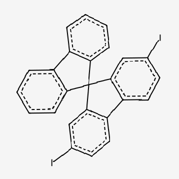 Ic1ccc2c(c1)C1(c3ccccc3-c3ccccc31)c1cc(I)ccc1-2